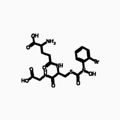 NC(CCC(=O)NC(CSC(=O)N(O)c1ccccc1Br)C(=O)NCC(=O)O)C(=O)O